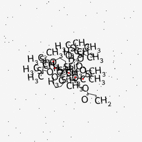 C=CC(=O)OCCC[Si](C1([SiH2]C(O[Si](C)(C)C)O[Si](C)(C)C)CCCCO1)(C1([SiH2]C(O[Si](C)(C)C)O[Si](C)(C)C)CCCCO1)C1([SiH2]C(O[Si](C)(C)C)O[Si](C)(C)C)CCCCO1